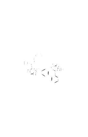 CCC(CCC(=O)O)c1ncnn1Cc1ccc(-c2ccccc2-c2nnn[nH]2)cc1